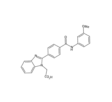 COc1cccc(NC(=O)c2ccc(-c3nc4ccccc4n3CC(=O)O)cc2)c1